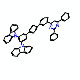 c1ccc(-c2cc(-c3cccc(-c4ccc(-c5cc(-n6c7ccccc7c7ccccc76)cc(-n6c7ccccc7c7ccccc76)c5)cc4)c3)nc(-c3ccccc3)n2)cc1